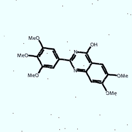 COc1cc2nc(-c3cc(OC)c(OC)c(OC)c3)nc(O)c2cc1OC